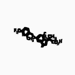 Cc1nc(C(F)(F)F)ccc1COc1cc(C)c2c(C(C)C(=O)O)csc2c1